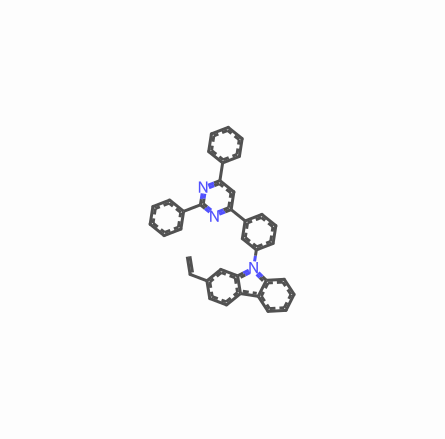 C=Cc1ccc2c3ccccc3n(-c3cccc(-c4cc(-c5ccccc5)nc(-c5ccccc5)n4)c3)c2c1